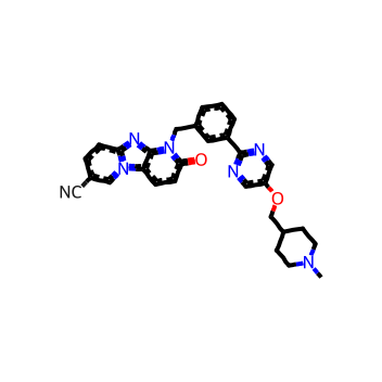 CN1CCC(COc2cnc(-c3cccc(Cn4c(=O)ccc5c4nc4ccc(C#N)cn45)c3)nc2)CC1